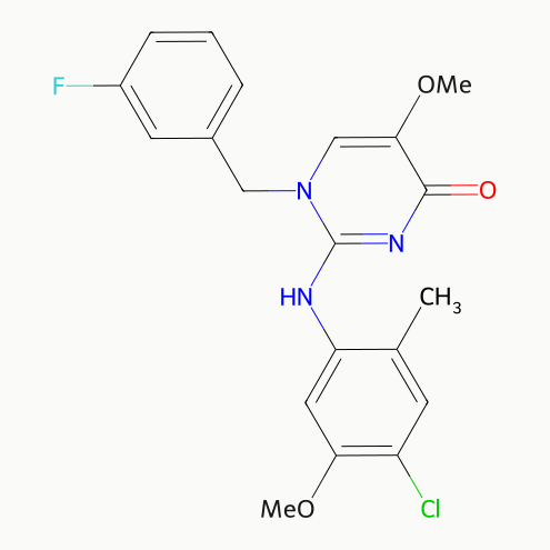 COc1cc(Nc2nc(=O)c(OC)cn2Cc2cccc(F)c2)c(C)cc1Cl